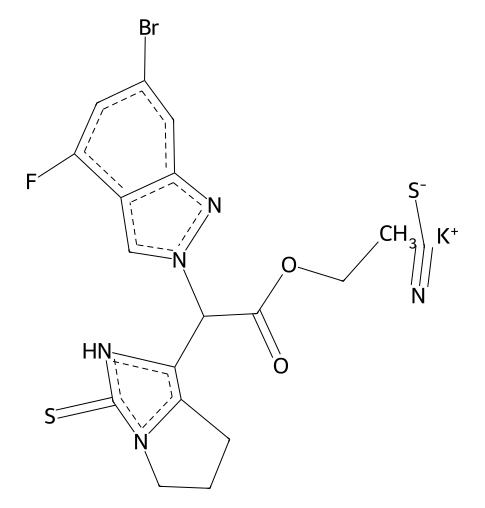 CCOC(=O)C(c1[nH]c(=S)n2c1CCC2)n1cc2c(F)cc(Br)cc2n1.N#C[S-].[K+]